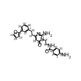 Nc1ccc(C(=O)NCCn2c(N)nc(CCc3cccc(-c4ccco4)c3)cc2=O)cc1